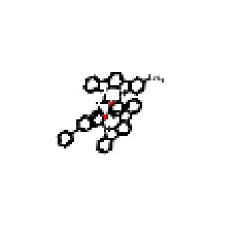 CC1C=Cc2c(c3ccc4c5ccccc5n(-c5nc(-c6ccc(-c7ccccc7)cc6)nc(-n6c7ccccc7c7ccc8c9ccccc9n(-c9ccccc9)c8c76)n5)c4c3n2-c2ccccc2)C1